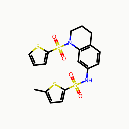 Cc1ccc(S(=O)(=O)Nc2ccc3c(c2)N(S(=O)(=O)c2cccs2)CCC3)s1